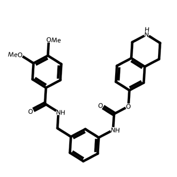 COc1ccc(C(=O)NCc2cccc(NC(=O)Oc3ccc4c(c3)CCNC4)c2)cc1OC